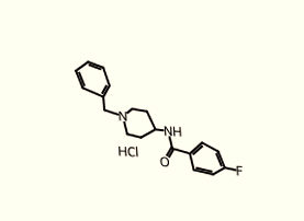 Cl.O=C(NC1CCN(Cc2ccccc2)CC1)c1ccc(F)cc1